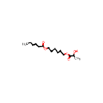 CCCCCC(=O)OCCCCCCOC(=O)C(C)O